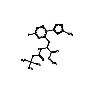 COC(=O)[C@H](Cc1cc(F)cnc1-c1cnn(C)c1)NC(=O)OC(C)(C)C